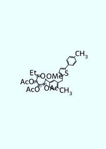 CC[C@H]1OC(OC)(c2ccc(C)c(Cc3ccc(-c4ccc(C)cc4)s3)c2)[C@H](OC(C)=O)[C@@H](OC(C)=O)[C@@H]1OC(C)=O